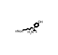 CCCCCCCCCCCCCCN(C(N)=S)c1ccc(O)cc1